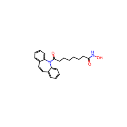 O=C(CCCCCCC(=O)N1c2ccccc2C=Cc2ccccc21)NO